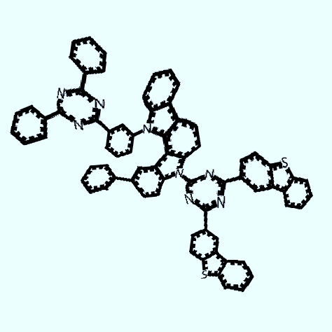 c1ccc(-c2ccc3c(c2)c2c(ccc4c5ccccc5n(-c5cccc(-c6nc(-c7ccccc7)nc(-c7ccccc7)n6)c5)c42)n3-c2nc(-c3ccc4sc5ccccc5c4c3)nc(-c3ccc4sc5ccccc5c4c3)n2)cc1